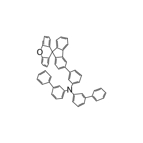 c1ccc(-c2cccc(N(c3cccc(-c4ccccc4)c3)c3cccc(-c4ccc5c(c4)-c4ccccc4C54c5ccccc5Oc5ccccc54)c3)c2)cc1